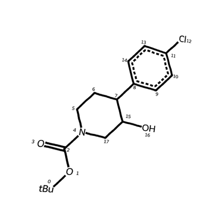 CC(C)(C)OC(=O)N1CCC(c2ccc(Cl)cc2)C(O)C1